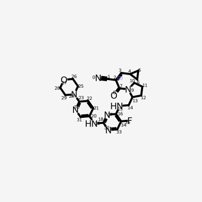 N#C/C(=C/C1CC1)C(=O)N1CCCC1CNc1nc(Nc2ccc(N3CCOCC3)nc2)ncc1F